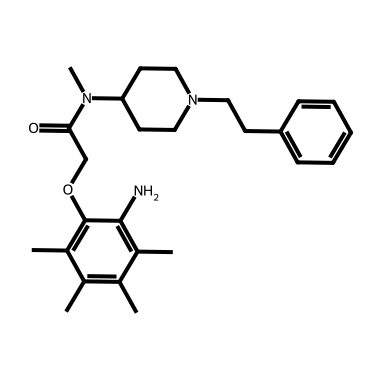 Cc1c(C)c(C)c(OCC(=O)N(C)C2CCN(CCc3ccccc3)CC2)c(N)c1C